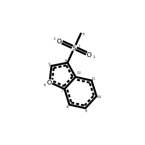 CS(=O)(=O)c1[c]oc2ccccc12